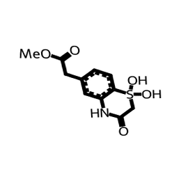 COC(=O)Cc1ccc2c(c1)NC(=O)CS2(O)O